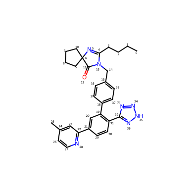 CCCCC1=NC2(CCCC2)C(=O)N1Cc1ccc(-c2cc(-c3cc(C)ccn3)ccc2-c2nn[nH]n2)cc1